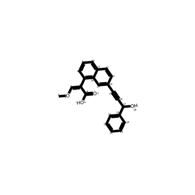 COC=C(C(=O)O)c1cccc2ccc(C#CC(O)c3ccccc3)cc12